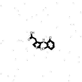 O=C(O)Cc1csc(Cl)c1Nc1c(Cl)cccc1Cl